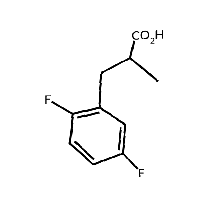 CC(Cc1cc(F)ccc1F)C(=O)O